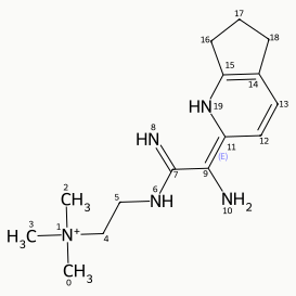 C[N+](C)(C)CCNC(=N)/C(N)=C1/C=CC2=C(CCC2)N1